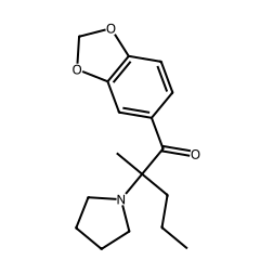 CCCC(C)(C(=O)c1ccc2c(c1)OCO2)N1CCCC1